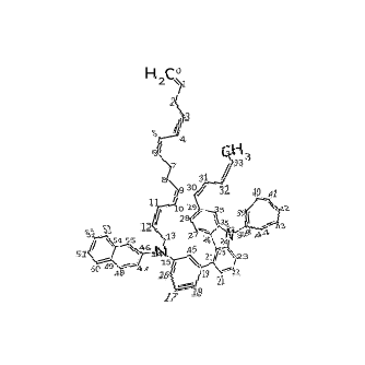 C=CC/C=C\C=C/CC/C=C\C=C/CN(c1cccc(-c2cccc3c2c2ccc(/C=C\C=C/C)cc2n3C2=CCC=CC=C2)c1)c1ccc2ccccc2c1